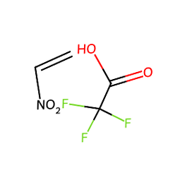 C=C[N+](=O)[O-].O=C(O)C(F)(F)F